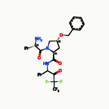 CC(C)C(NC(=O)[C@@H]1C[C@@H](OCc2ccccc2)CN1C(=O)[C@@H](N)C(C)C)C(=O)C(F)(F)C(F)(F)F